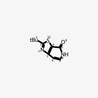 CC(C)(C)c1nc2cc[nH]c(=O)c2s1